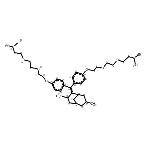 CCN(CC)CCOCCOCCOc1ccc(C(=C2C(C)CC3CC(C)CC2C3)c2ccc(OCCOCCOCCN(CC)CC)cc2)cc1